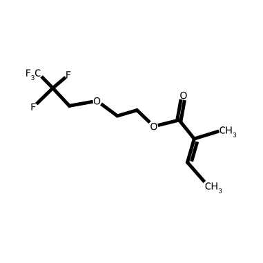 CC=C(C)C(=O)OCCOCC(F)(F)C(F)(F)F